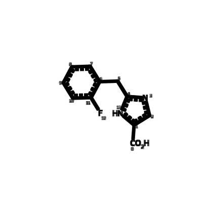 O=C(O)c1cnc(Cc2ccccc2F)[nH]1